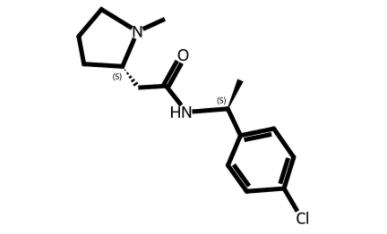 C[C@H](NC(=O)C[C@@H]1CCCN1C)c1ccc(Cl)cc1